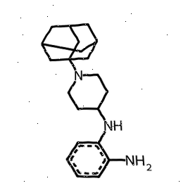 Nc1ccccc1NC1CCN(C23CC4CC(CC(C4)C2)C3)CC1